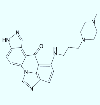 CN1CCN(CCCNc2ccc3ncn4c5ccc6[nH]ncc6c5c(=O)c2c34)CC1